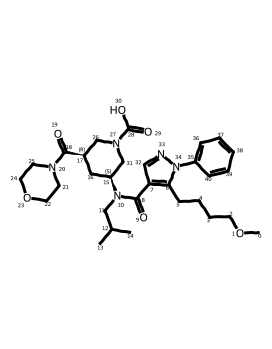 COCCCCc1c(C(=O)N(CC(C)C)[C@H]2C[C@@H](C(=O)N3CCOCC3)CN(C(=O)O)C2)cnn1-c1ccccc1